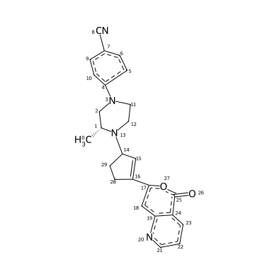 C[C@@H]1CN(c2ccc(C#N)cc2)CCN1C1C=C(c2cc3ncccc3c(=O)o2)CC1